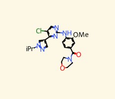 COc1cc(C(=O)N2CCOCC2)ccc1Nc1ncc(Cl)c(-c2cnn(C(C)C)c2)n1